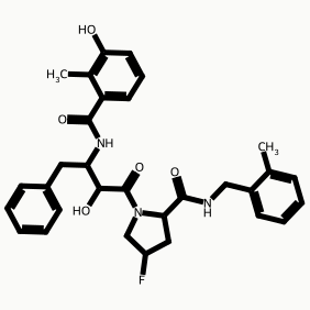 Cc1ccccc1CNC(=O)C1CC(F)CN1C(=O)C(O)C(Cc1ccccc1)NC(=O)c1cccc(O)c1C